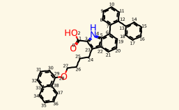 O=C(O)c1[nH]c2c(-c3ccccc3-c3ccccc3)cccc2c1CCCCOc1cccc2ccccc12